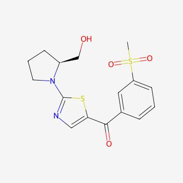 CS(=O)(=O)c1cccc(C(=O)c2cnc(N3CCC[C@H]3CO)s2)c1